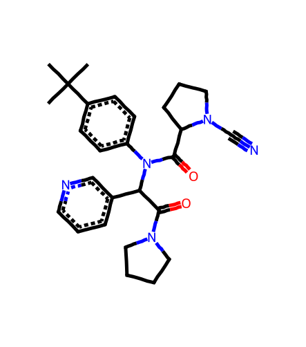 CC(C)(C)c1ccc(N(C(=O)C2CCCN2C#N)C(C(=O)N2CCCC2)c2cccnc2)cc1